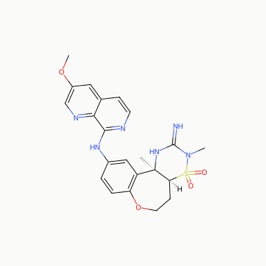 COc1cnc2c(Nc3ccc4c(c3)[C@@]3(C)NC(=N)N(C)S(=O)(=O)[C@H]3CCO4)nccc2c1